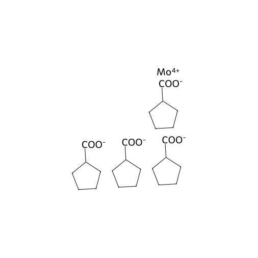 O=C([O-])C1CCCC1.O=C([O-])C1CCCC1.O=C([O-])C1CCCC1.O=C([O-])C1CCCC1.[Mo+4]